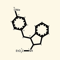 CCOC(=O)NC1Cc2ccccc2C1Cc1ccc(OC)cc1